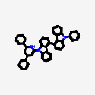 C1=CCC(C2CC(c3ccccc3)C=C(n3c4ccccc4c4c(-c5cccc6c5c5ccccc5n6-c5ccccc5)cccc43)N2)C=C1